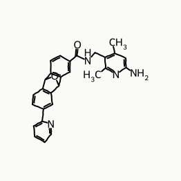 Cc1cc(N)nc(C)c1CNC(=O)c1ccc2c(c1)C1OC2c2ccc(-c3ccccn3)cc21